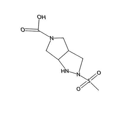 CS(=O)(=O)N1CC2CN(C(=O)O)CC2N1